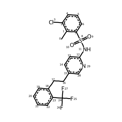 Cc1c(Cl)cccc1S(=O)(=O)Nc1ccc(CCc2ccccc2C(F)(F)F)cn1